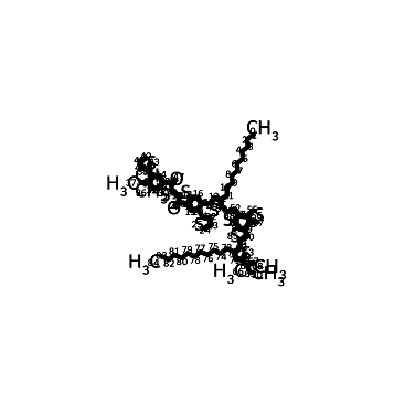 CCCCCCCCCCCCc1cc(-c2cc3c(cc2-c2cccs2)C(=O)/C(=C2\Sc4cc(C(C)(C)C)c(-c5cccs5)cc4C2=O)S3)sc1-c1cc2c3cscc3c3cc(-c4sc(C(C)(CC)CC)cc4CCCCCCCCCCCC)sc3c2s1